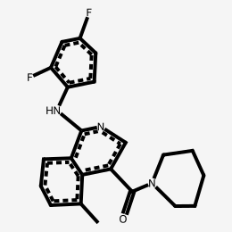 Cc1cccc2c(Nc3ccc(F)cc3F)ncc(C(=O)N3CCCCC3)c12